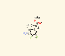 CC[C@@](C(=O)O)(C(=O)OC(C)(C)C)c1cc(F)c(F)c(N)c1F